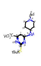 CC(=O)N1CCC(Nc2cc(C(=O)O)nc(SC(C)(C)C)n2)CC1